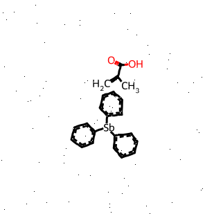 C=C(C)C(=O)O.c1cc[c]([Sb]([c]2ccccc2)[c]2ccccc2)cc1